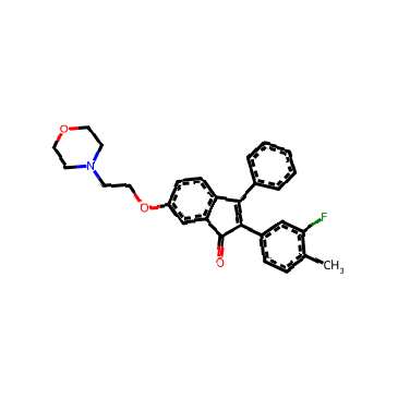 Cc1ccc(C2=C(c3ccccc3)c3ccc(OCCN4CCOCC4)cc3C2=O)cc1F